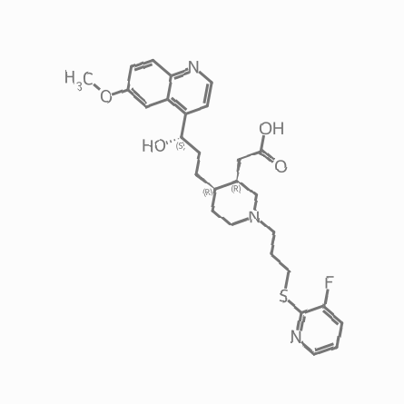 COc1ccc2nccc([C@@H](O)CC[C@@H]3CCN(CCCSc4ncccc4F)C[C@@H]3CC(=O)O)c2c1